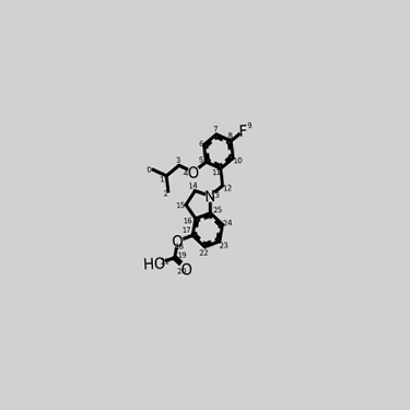 CC(C)COc1ccc(F)cc1CN1CCc2c(OC(=O)O)cccc21